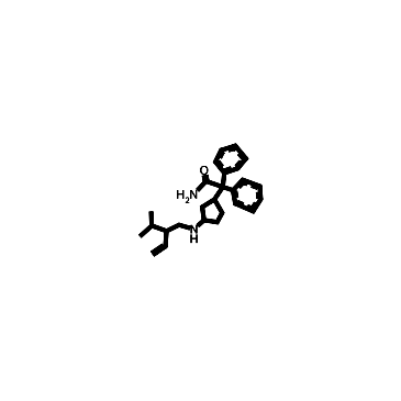 C=CC(CNC1CCC(C(C(N)=O)(c2ccccc2)c2ccccc2)C1)C(C)C